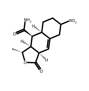 C[C@H]1OC(=O)[C@@H]2C=C3CC([N+](=O)[O-])CC[C@@H]3[C@H](C(N)=O)[C@H]12